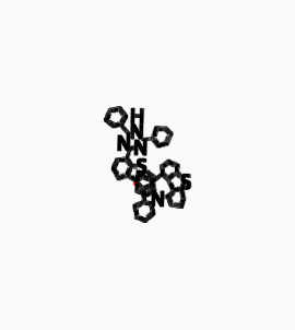 c1ccc(C2=NC(c3cccc4c3sc3c(-c5cccc6sc7cccc(-n8c9ccccc9c9ccccc98)c7c56)cccc34)=NC(c3ccccc3)N2)cc1